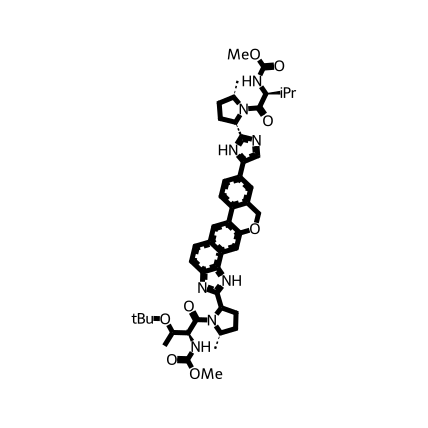 COC(=O)N[C@H](C(=O)N1[C@@H](C)CC[C@H]1c1ncc(-c2ccc3c(c2)COc2cc4c(ccc5nc(C6CC[C@H](C)N6C(=O)[C@@H](NC(=O)OC)C(C)OC(C)(C)C)[nH]c54)cc2-3)[nH]1)C(C)C